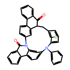 O=C1c2ccccc2-c2ccc3cc2C1Cc1cccc(c1Cl)N(c1ccccc1)c1ccc2c4ccccc4c(=O)n-3c2c1